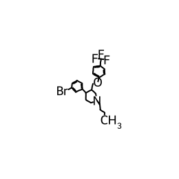 CCCCN1CCC(c2cccc(Br)c2)C(COc2ccc(C(F)(F)F)cc2)C1